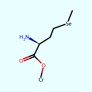 C[Se]CC[C@H](N)C(=O)[O][Cr]